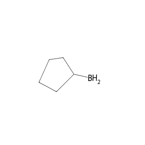 BC1CCCC1